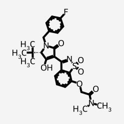 CN(C)C(=O)COc1cccc2c1S(=O)(=O)N=C2C1=C(O)[C@H](C(C)(C)C)N(Cc2ccc(F)cc2)C1=O